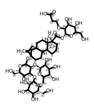 C=C1C[C@@]23CC[C@H]4[C@@](C)(CCC[C@@]4(C)C(=O)O[C@@H]4OC(CO)[C@@H](O)C(O)C4OCCC(=O)O)[C@@H]2CC[C@]1(OC1O[C@H](CO)C(O)C(OC2O[C@H](CO)C(O)C(O)[C@H]2O)[C@H]1O[C@@H]1OC(CO)[C@@H](O)C(O)C1O)C3